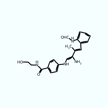 CC(=C\c1ccccc1NC=O)/C(N)=C/Nc1ccc(C(=O)NCCO)cc1